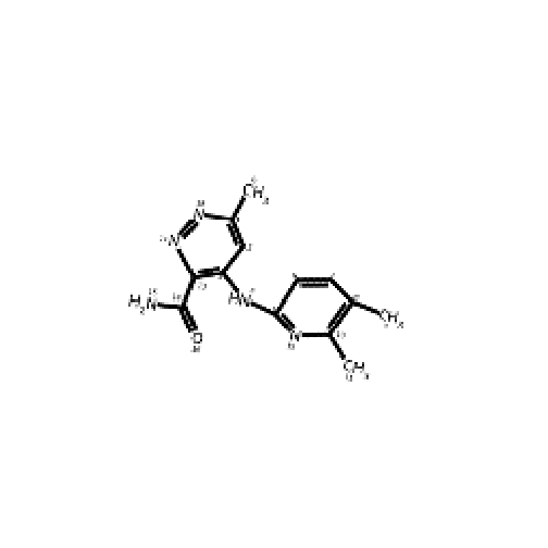 Cc1cc(Nc2ccc(C)c(C)n2)c(C(N)=O)nn1